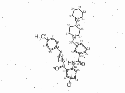 Cc1ccc(/C=N/NC(=O)c2cc(Cl)ccc2NC(=O)c2cccc(CN3CCC(N4CCCCC4)CC3)c2)cc1